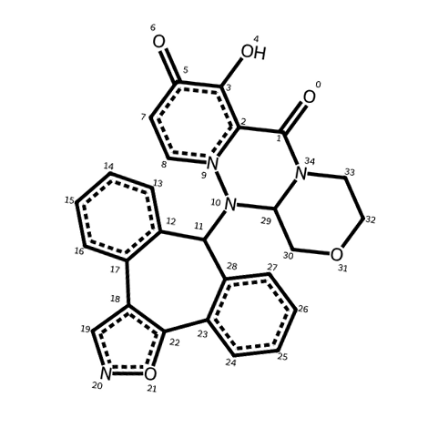 O=C1c2c(O)c(=O)ccn2N(C2c3ccccc3-c3cnoc3-c3ccccc32)C2COCCN12